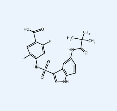 CC(C)(C)C(=O)Nc1ccc2[nH]cc(S(=O)(=O)Nc3cc(F)c(C(=O)O)cc3F)c2c1